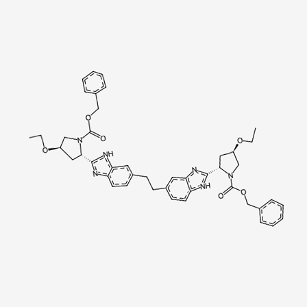 CCO[C@@H]1C[C@@H](c2nc3cc(CCc4ccc5nc([C@@H]6C[C@@H](OCC)CN6C(=O)OCc6ccccc6)[nH]c5c4)ccc3[nH]2)N(C(=O)OCc2ccccc2)C1